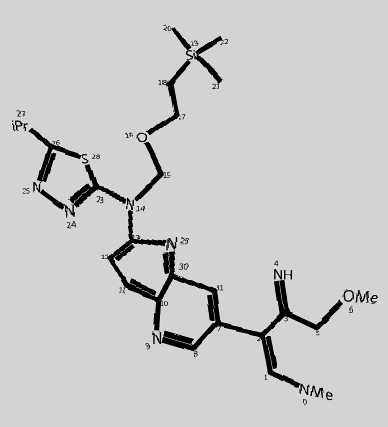 CN/C=C(\C(=N)COC)c1cnc2ccc(N(COCC[Si](C)(C)C)c3nnc(C(C)C)s3)nc2c1